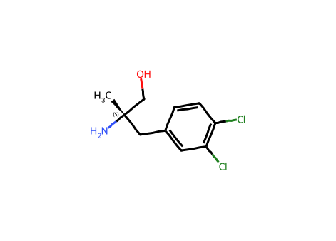 C[C@@](N)(CO)Cc1ccc(Cl)c(Cl)c1